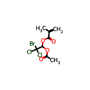 C=C(C)C(=O)OC(OC(C)=O)C(Cl)(Cl)Br